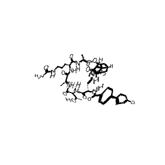 C[C@H](NC(=O)[C@H](CCCNC(N)=O)NC(=O)[C@H](C)NC(=O)[C@@H](NC(=O)[C@H](CCN)NC(=O)c1ccc(-c2ccc(Cl)cc2)cc1)[C@@H](C)O)B1O[C@@H]2C[C@@H]3C[C@@H](C3(C)C)[C@]2(C)O1